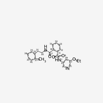 CCOc1cncc(NS(=O)(=O)c2ccccc2C(=O)NCCc2ccccc2C)c1